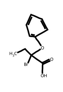 CCC(Br)(Oc1ccccc1)C(=O)O